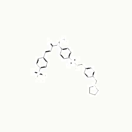 CN(C(=O)C=Cc1ccc(S(C)(=O)=O)cc1)c1ccc(S(=O)(=O)NCc2ccc(CN3CCCC3)cc2)cc1